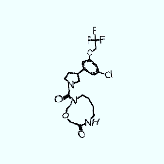 O=C1COCN(C(=O)N2CCC(c3cc(Cl)cc(OCC(F)(F)F)c3)C2)CCCCN1